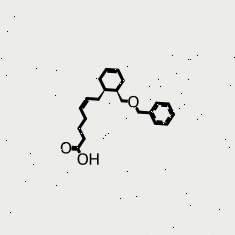 O=C(O)CCC/C=C\C[C@H]1CC=CC[C@H]1COCc1ccccc1